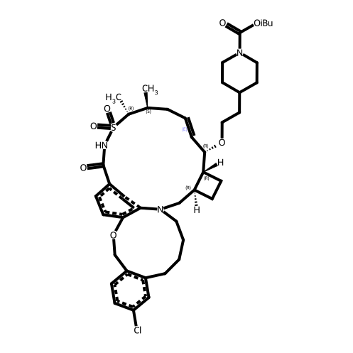 CC(C)COC(=O)N1CCC(CCO[C@H]2/C=C/C[C@H](C)[C@@H](C)S(=O)(=O)NC(=O)c3ccc4c(c3)N(CCCCc3cc(Cl)ccc3CO4)C[C@@H]3CC[C@H]32)CC1